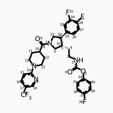 O=C(NCC[C@@H]1CN(C(=O)C2CCN(c3ccc(C(F)(F)F)cn3)CC2)C[C@H]1c1ccc(F)c(F)c1)Oc1ccc(F)cc1